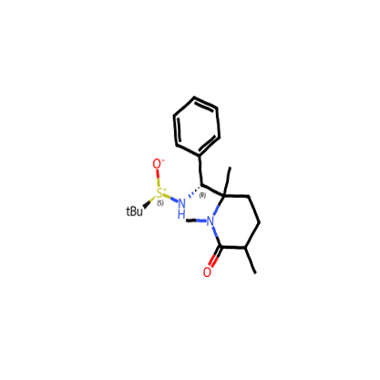 CC1CCC(C)([C@H](N[S@+]([O-])C(C)(C)C)c2ccccc2)N(C)C1=O